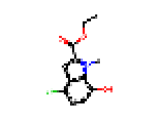 CCOC(=O)c1cc2c(Cl)ccc(O)c2n1C